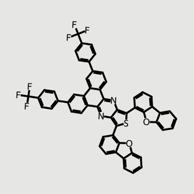 FC(F)(F)c1ccc(-c2ccc3c(c2)c2cc(-c4ccc(C(F)(F)F)cc4)ccc2c2nc4c(-c5cccc6c5oc5ccccc56)sc(-c5cccc6c5oc5ccccc56)c4nc32)cc1